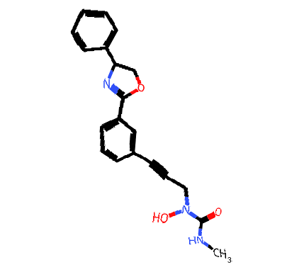 CNC(=O)N(O)CC#Cc1cccc(C2=NC(c3ccccc3)CO2)c1